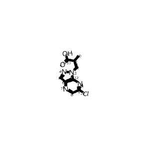 CC(Cn1ncc2ncc(Cl)nc21)C(=O)O